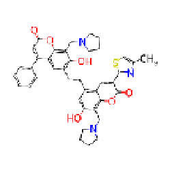 Cc1csc(-c2cc3c(CCc4cc5c(-c6ccccc6)cc(=O)oc5c(CN5CCCC5)c4O)cc(O)c(CN4CCCC4)c3oc2=O)n1